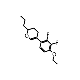 CCCC1CCC(c2ccc(OCC)c(F)c2F)=CO1